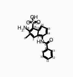 Cc1cc2c(NC(=O)c3ccccc3)cccc2c(S(=O)(=O)O)c1N